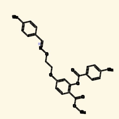 CC(C)(C)OC(=O)c1ccc(OCCO/N=C/c2ccc(C(C)(C)C)cc2)cc1OC(=O)c1ccc(C(C)(C)C)cc1